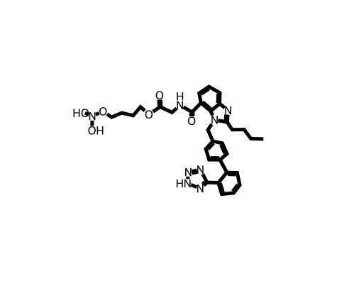 CCCCc1nc2cccc(C(=O)NCC(=O)OCCCCON(O)O)c2n1Cc1ccc(-c2ccccc2-c2nn[nH]n2)cc1